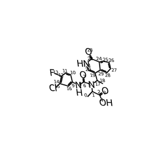 CC(C(=O)O)N(C(=O)Nc1ccc(F)c(Cl)c1)C(C)c1c[nH]c(=O)c2ccccc12